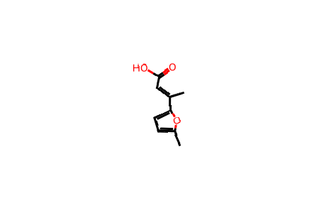 CC(=CC(=O)O)c1ccc(C)o1